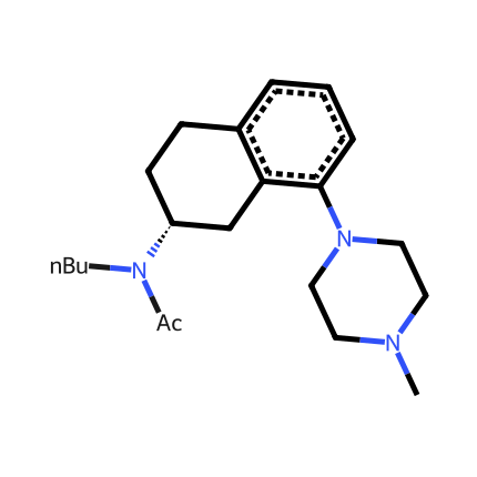 CCCCN(C(C)=O)[C@@H]1CCc2cccc(N3CCN(C)CC3)c2C1